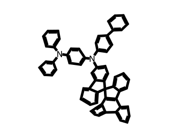 c1ccc(-c2ccc(N(c3ccc(N(c4ccccc4)c4ccccc4)cc3)c3ccc4c(c3)-c3ccccc3C43c4ccccc4-c4c3c3ccccc3c3ccccc43)cc2)cc1